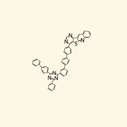 c1ccc(-c2ccc(-c3nc(-c4ccccc4)nc(-c4cccc(-c5ccc(-c6ccc(-c7ncnc8c7sc7nc9ccccc9cc78)cc6)cc5)c4)n3)cc2)cc1